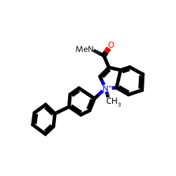 CNC(=O)C1=C[N+](C)(c2ccc(-c3ccccc3)cc2)c2ccccc21